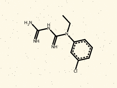 CCN(C(=N)NC(=N)N)c1cccc(Cl)c1